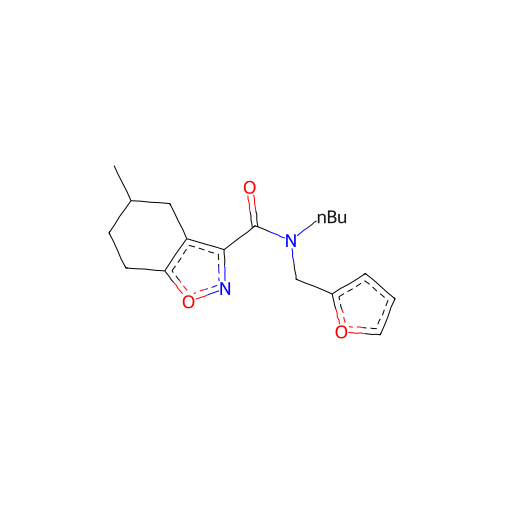 CCCCN(Cc1ccco1)C(=O)c1noc2c1CC(C)CC2